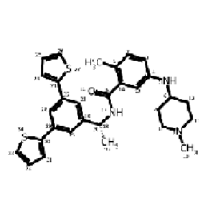 Cc1ccc(NC2CCN(C)CC2)cc1C(=O)N[C@H](C)c1cc(-c2cccs2)cc(-c2cccs2)c1